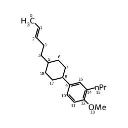 CC=CCCC1CCC(c2ccc(OC)c(CCC)c2)CC1